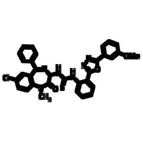 COc1cccc(-c2nnc(-c3ccccc3NC(=S)NC3N=C(c4ccccc4)c4cc(Cl)ccc4N(C)C3=O)o2)c1